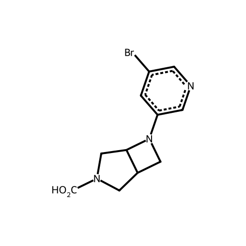 O=C(O)N1CC2CN(c3cncc(Br)c3)C2C1